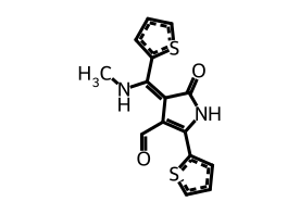 CN/C(=C1/C(=O)NC(c2cccs2)=C1C=O)c1cccs1